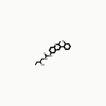 CCC(O)CNC(=O)Nc1ccc2nc(C)c(-c3ccccc3Cl)cc2c1